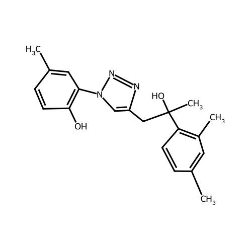 Cc1ccc(C(C)(O)Cc2cn(-c3cc(C)ccc3O)nn2)c(C)c1